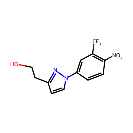 O=[N+]([O-])c1ccc(-n2ccc(CCO)n2)cc1C(F)(F)F